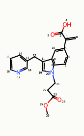 C=C(C(=O)O)c1ccc2c(c1)c(Cc1cccnc1)cn2CCC(=O)OC